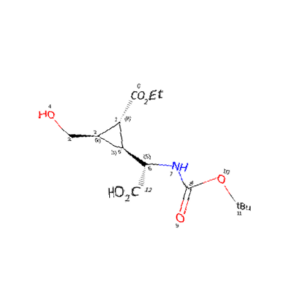 CCOC(=O)[C@H]1[C@H](CO)[C@@H]1[C@H](NC(=O)OC(C)(C)C)C(=O)O